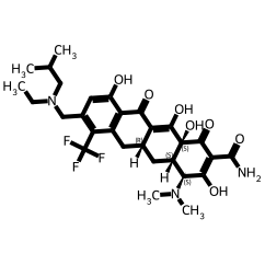 CCN(Cc1cc(O)c2c(c1C(F)(F)F)C[C@H]1C[C@H]3[C@H](N(C)C)C(O)=C(C(N)=O)C(=O)[C@@]3(O)C(O)=C1C2=O)CC(C)C